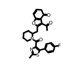 CC(=O)c1c(CC2CCCCN2C(=O)c2nc(C)sc2-c2ccc(F)cc2)oc2c1C(=O)CC=C2